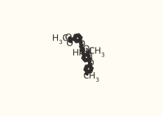 CNc1nc(Oc2ccc(C)cc2)ccc1NC(=O)COc1cccc(C(=O)OC)c1